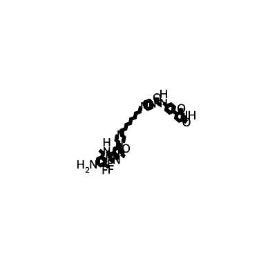 CC(Nc1ncnc2c1cc(N1CCN(CCCCCCCCCN3CCN(C(=O)CNc4ccc(C5CCC(=O)NC5=O)cc4)CC3)CC1)c(=O)n2C)c1cc(N)cc(C(F)(F)F)c1